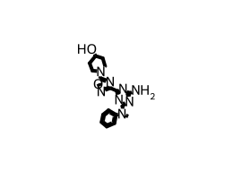 CN(c1ccccc1)c1nc(N)nc(-c2noc(N3CCC(O)CC3)n2)n1